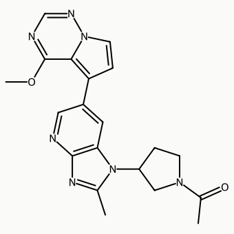 COc1ncnn2ccc(-c3cnc4nc(C)n(C5CCN(C(C)=O)C5)c4c3)c12